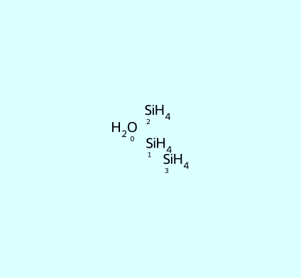 O.[SiH4].[SiH4].[SiH4]